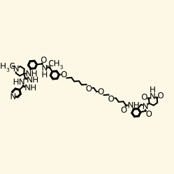 C[C@@H](NC(=O)c1cccc(NC2(C(=N)NC(=N)c3ccncc3)CCN(C)CC2)c1)c1cccc(OCCCCCCOCCOCCOCCCC(=O)Nc2cccc3c2CN(C2CCC(=O)NC2=O)C3=O)c1